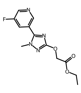 CCOC(=O)COc1nc(-c2cncc(F)c2)n(C)n1